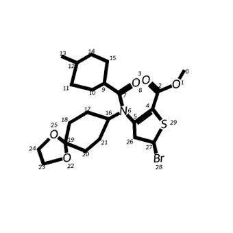 COC(=O)C1=C(N(C(=O)C2CCC(C)CC2)C2CCC3(CC2)OCCO3)CC(Br)S1